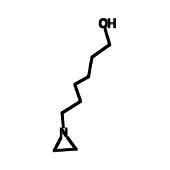 OCCCCCCN1CC1